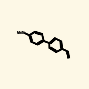 C=Cc1ccc(-c2ccc(NC)cc2)cc1